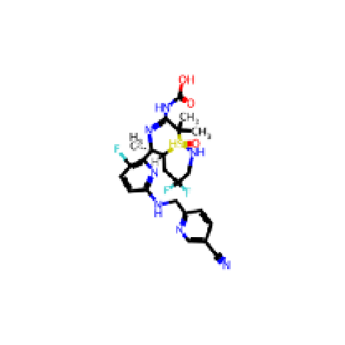 CC1(C)C(NC(=O)O)=N[C@](C)(c2nc(NCc3ccc(C#N)cn3)ccc2F)[C@H]2CC(F)(F)CN[SH]21=O